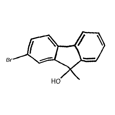 CC1(O)c2ccccc2-c2ccc(Br)cc21